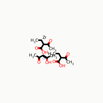 CC(=O)/C=C(/C)O.CCC(C(C)=O)C(=O)O.CCC(C(C)=O)C(=O)O.[Zr]